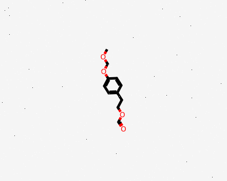 COCOc1ccc(CCOC=O)cc1